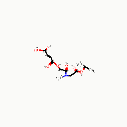 CC(C)OC(=O)CN(C)C(=O)COC(=O)C=CC(=O)O